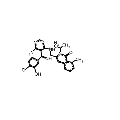 Cc1cccc2cc(CNc3ncnc(N)c3C(=N)c3ccc(Cl)c(O)c3)n(C(C)C)c(=O)c12